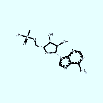 [CH]P(=O)(O)OC[C@H]1O[C@@H](n2cnc3c(N)ncnc32)[C@H](O)[C@@H]1O